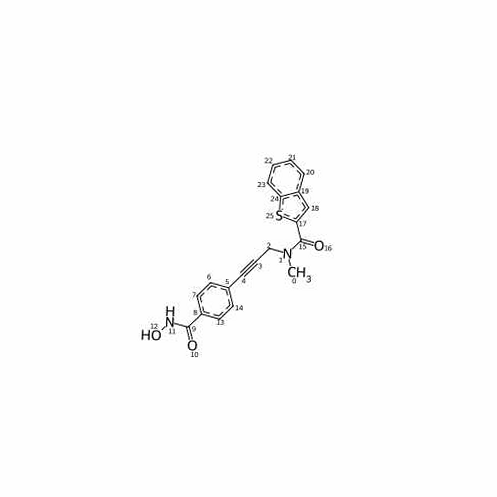 CN(CC#Cc1ccc(C(=O)NO)cc1)C(=O)c1cc2ccccc2s1